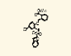 COC(=O)c1ccccc1COc1ccc(Cl)cc1NS(=O)(=O)c1cc2ccccc2o1